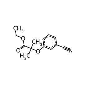 CCOC(=O)C(C)(C)Oc1cccc(C#N)c1